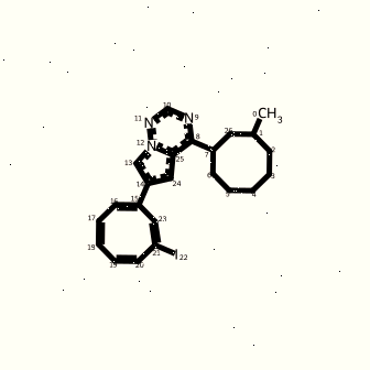 CC1CCCCCC(c2ncnn3cc(C4=C/C=C\C=C/C(I)=C\4)cc23)C1